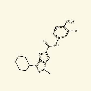 CCc1cc(NC(=O)c2cc3c(C)nn(C4CCCCC4)c3s2)ccc1C(=O)O